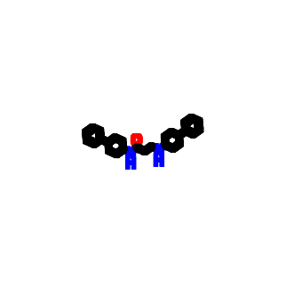 O=C(CCNC1CCC(c2ccccc2)CC1)NC1CCC(c2ccccc2)CC1